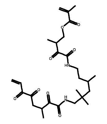 C=CC(=O)C(=O)CC(C)C(=O)C(=O)NCC(C)(C)CC(C)CCNC(=O)C(=O)C(C)COC(=O)C(=C)C